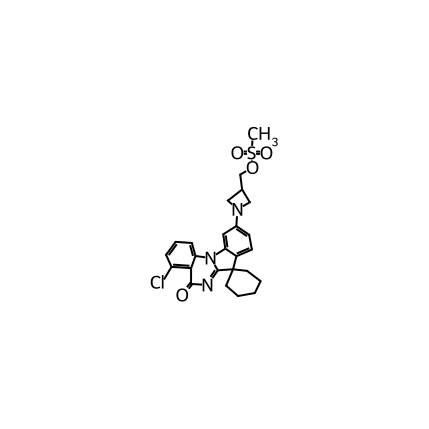 CS(=O)(=O)OCC1CN(c2ccc3c(c2)-n2c(nc(=O)c4c(Cl)cccc42)C32CCCCC2)C1